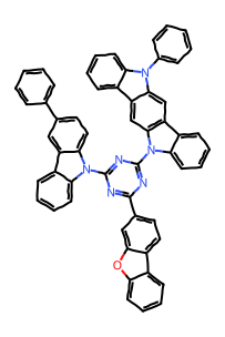 c1ccc(-c2ccc3c(c2)c2ccccc2n3-c2nc(-c3ccc4c(c3)oc3ccccc34)nc(-n3c4ccccc4c4cc5c(cc43)c3ccccc3n5-c3ccccc3)n2)cc1